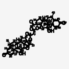 CC(=O)[C@@]1(OC(=O)CC(=O)O[C@@]2(C(C)=O)CC[C@@H]3[C@H]4C[C@@H](C)C5=CC(=O)C=C[C@@]5(C)[C@]4(F)[C@H](O)C[C@]32C)CC[C@H]2[C@@H]3C[C@H](C)C4=CC(=O)C=C[C@]4(C)[C@@]3(F)[C@@H](O)C[C@@]21C